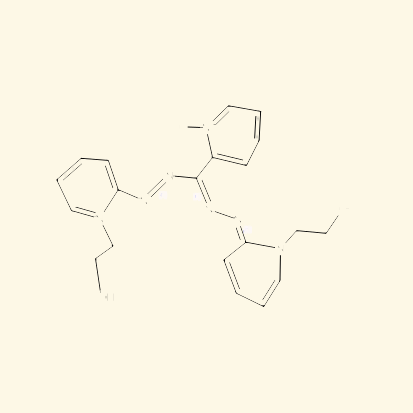 C[n+]1ccccc1C(/N=N/c1cccc[n+]1CCO)=N\N=c1/ccccn1CCO